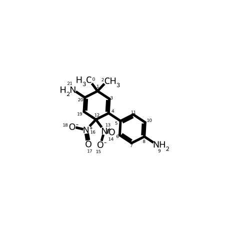 CC1(C)C=C(c2ccc(N)cc2)C([N+](=O)[O-])([N+](=O)[O-])C=C1N